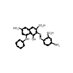 Nc1ccc(N=Nc2c(S(=O)(=O)O)cc3cc(S(=O)(=O)O)cc(Nc4ccccc4)c3c2O)c(S(=O)(=O)O)c1